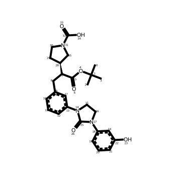 CC(C)(C)OC(=O)C(Cc1cccc(N2CCN(c3cccc(O)c3)C2=O)c1)[C@H]1CCN(C(=O)O)C1